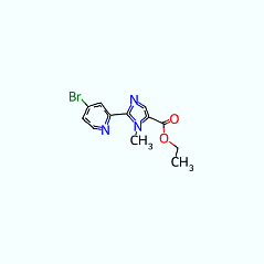 CCOC(=O)c1cnc(-c2cc(Br)ccn2)n1C